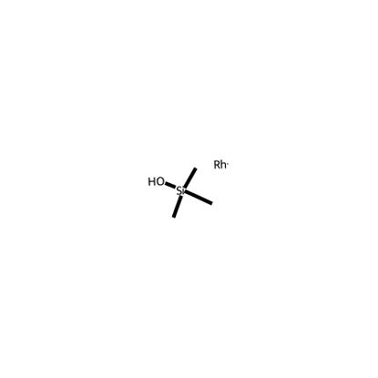 C[Si](C)(C)O.[Rh]